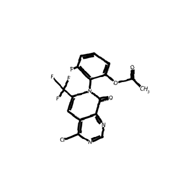 CC(=O)Oc1cccc(F)c1-n1c(C(F)(F)F)cc2c(Cl)ncnc2c1=O